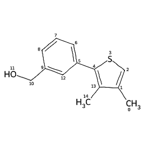 Cc1csc(-c2cccc(CO)c2)c1C